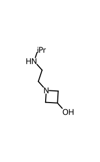 CC(C)NCCN1CC(O)C1